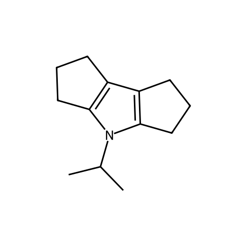 CC(C)n1c2c(c3c1CCC3)CCC2